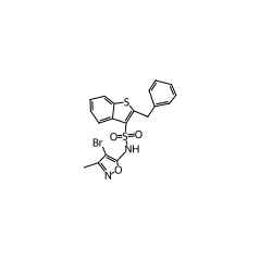 Cc1noc(NS(=O)(=O)c2c(Cc3ccccc3)sc3ccccc23)c1Br